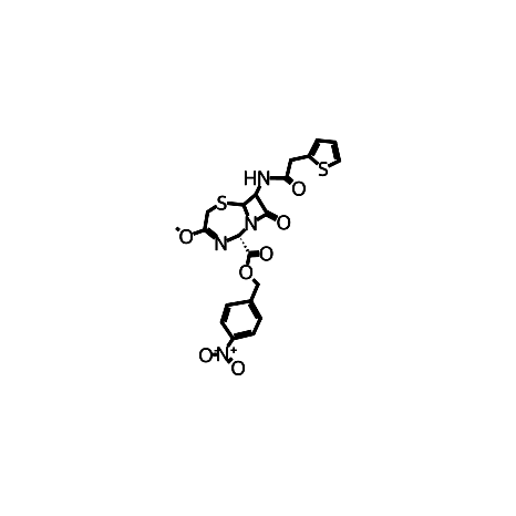 COC1=N[C@@H](C(=O)OCc2ccc([N+](=O)[O-])cc2)N2C(=O)C(NC(=O)Cc3cccs3)C2SC1